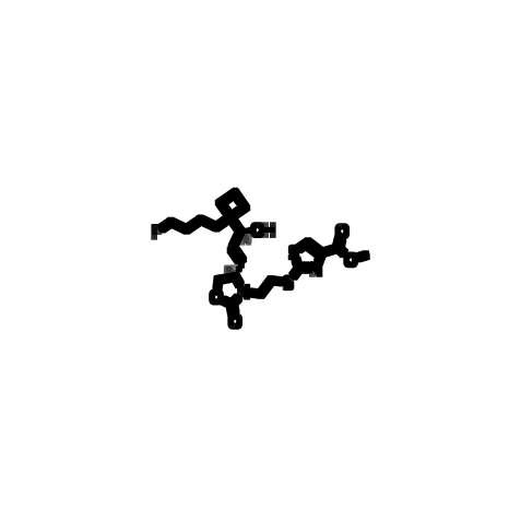 COC(=O)c1csc(SCCN2C(=O)OC[C@@H]2C=C[C@@H](O)C2(CCCCF)CCC2)n1